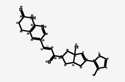 CCC12C=C(c3sccc3C)CC1CN(C(=O)/C=C/c1cnc3c(c1)CCC(=O)N3)C2